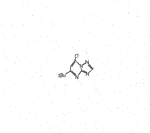 CC(C)(C)c1cc(Cl)n2ncnc2n1